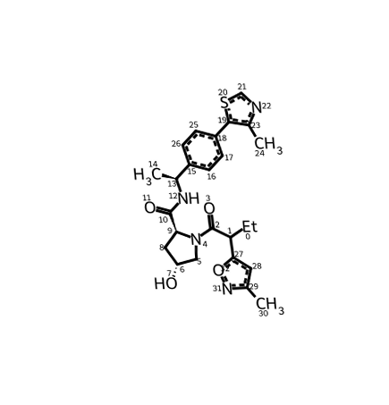 CCC(C(=O)N1C[C@H](O)C[C@H]1C(=O)N[C@@H](C)c1ccc(-c2scnc2C)cc1)c1cc(C)no1